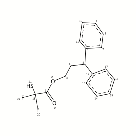 O=C(OCCC(c1ccccc1)c1ccccc1)C(F)(F)S